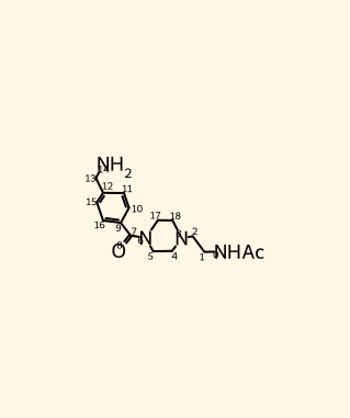 CC(=O)NCCN1CCN(C(=O)c2ccc(CN)cc2)CC1